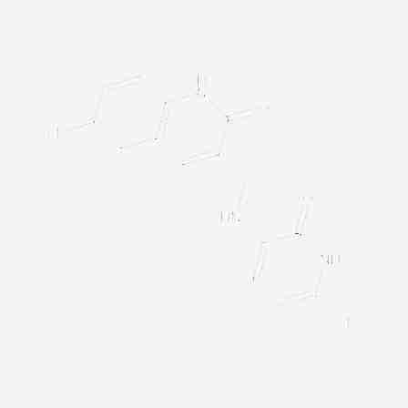 O=c1[nH]c2ccc(Cl)cc2cc1CNc1ccc(C(F)(F)F)[nH]c1=O